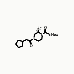 CCCCCCC(=O)N1CCN(C(=O)CC2CCCC2)C[C@H]1C(C)=O